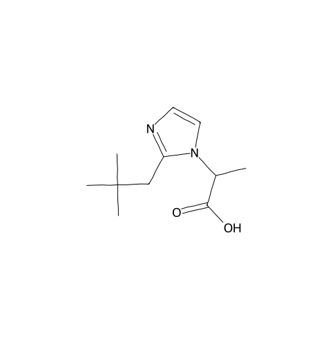 CC(C(=O)O)n1ccnc1CC(C)(C)C